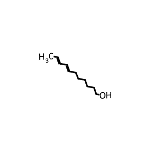 CC=CC=CCCCCCCO